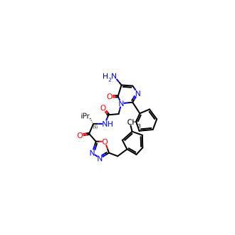 Cc1cccc(Cc2nnc(C(=O)[C@@H](NC(=O)Cn3c(-c4ccccc4)ncc(N)c3=O)C(C)C)o2)c1